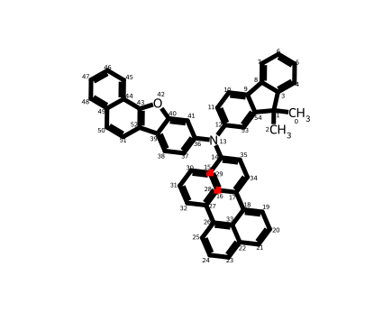 CC1(C)c2ccccc2-c2ccc(N(c3ccc(-c4cccc5cccc(-c6ccccc6)c45)cc3)c3ccc4c(c3)oc3c5ccccc5ccc43)cc21